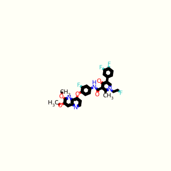 COc1cc2nccc(Oc3ccc(NC(=O)c4c(C)n(CCF)cc(-c5ccc(F)c(F)c5)c4=O)cc3F)c2nc1OC